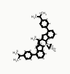 CCC1=Cc2c(-c3ccc(C(C)C)cc3)cccc2[CH]1[Ti+2]1([CH]2C(CC)=Cc3c(-c4ccc(C(C)C)cc4)cccc32)[CH2][CH2]1.[Cl-].[Cl-]